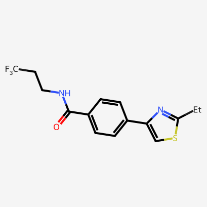 CCc1nc(-c2ccc(C(=O)NCCC(F)(F)F)cc2)cs1